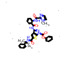 Cn1ccnc1C(=O)Nc1ccccc1C(=O)Nc1nn(C(=O)Oc2ccccc2)c2sc(C(=O)NC(C)(C)c3ccccc3)cc12